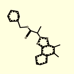 Cc1c(C)c2nn(C(C)C(=O)OCc3ccccc3)nc2c2ccccc12